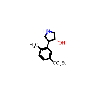 CCOC(=O)c1ccc(C)c([C@H]2CNC[C@@H]2O)c1